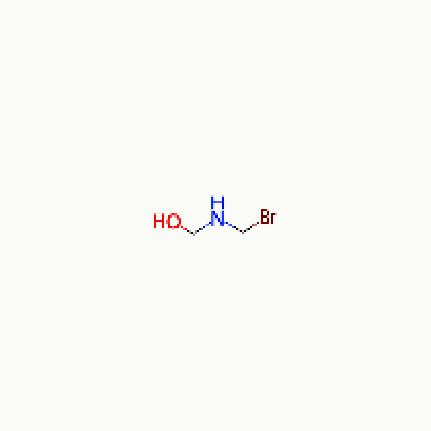 OCNCBr